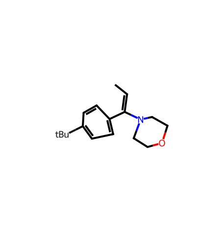 C/C=C(\c1ccc(C(C)(C)C)cc1)N1CCOCC1